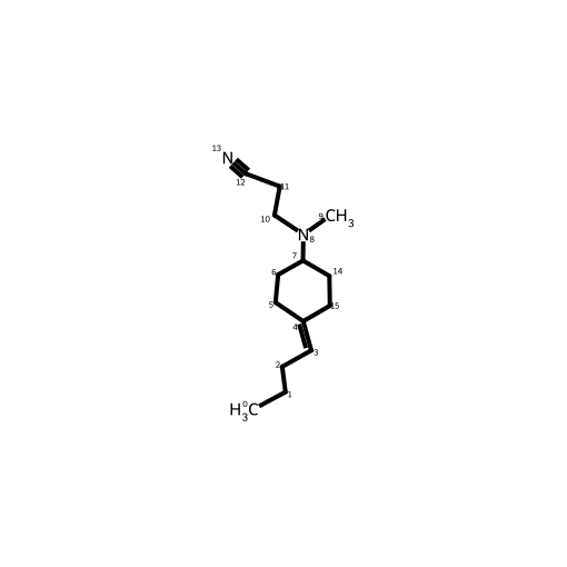 CCCC=C1CCC(N(C)CCC#N)CC1